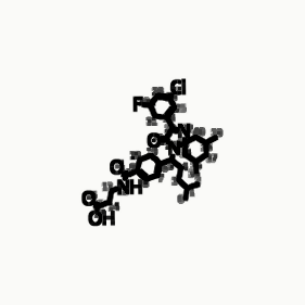 CC(C)CCC(C1=CC=C(C(=O)NCCC(=O)O)CC1)N1C(=O)C(C2=CC(Cl)=CC(F)C2)=NC12CC(C)CC(C)C2